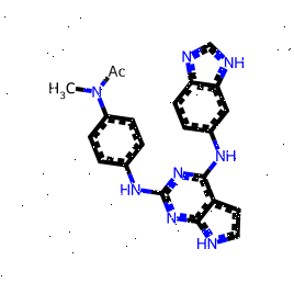 CC(=O)N(C)c1ccc(Nc2nc(Nc3ccc4nc[nH]c4c3)c3cc[nH]c3n2)cc1